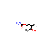 C=C(CCOC(N)=O)C(C)O